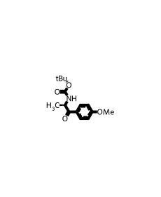 COc1ccc(C(=O)[C@@H](C)NC(=O)OC(C)(C)C)cc1